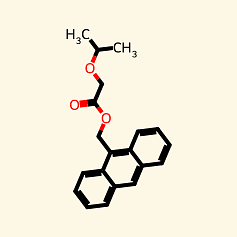 CC(C)OCC(=O)OCc1c2ccccc2cc2ccccc12